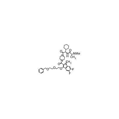 CNC(C)C(=O)NC(C(=O)N1CCN(C(=O)c2c(OCCOCCOCc3ccccc3)c3cc(F)c(F)cc3n2C)CC1)C1CCCCC1